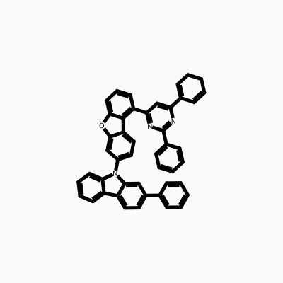 C1=CC(c2cc(-c3cccc4oc5cc(-n6c7ccccc7c7ccc(-c8ccccc8)cc76)ccc5c34)nc(-c3ccccc3)n2)=CCC1